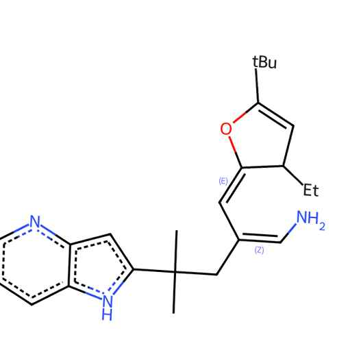 CCC1C=C(C(C)(C)C)O/C1=C/C(=C\N)CC(C)(C)c1cc2ncccc2[nH]1